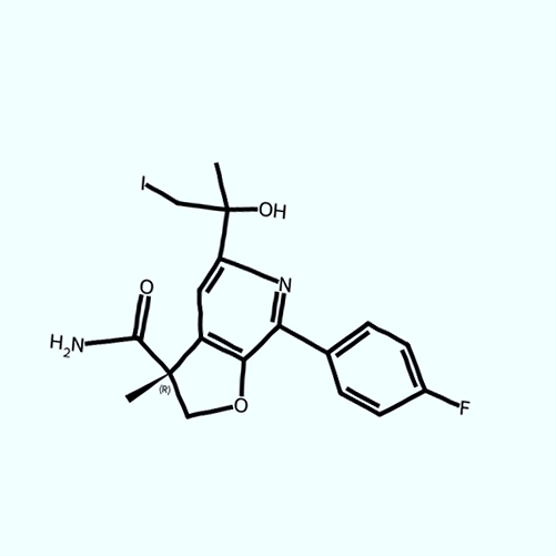 CC(O)(CI)c1cc2c(c(-c3ccc(F)cc3)n1)OC[C@]2(C)C(N)=O